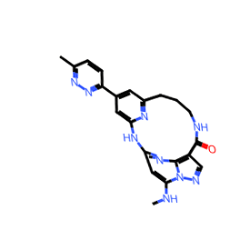 CNc1cc2nc3c(cnn13)C(=O)NCCCc1cc(-c3ccc(C)nn3)cc(n1)N2